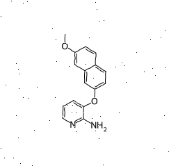 COc1ccc2ccc(Oc3cccnc3N)cc2c1